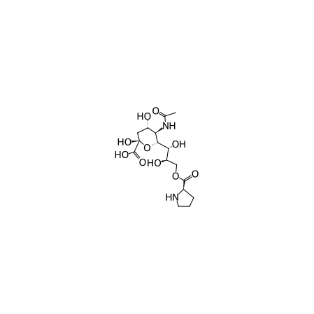 CC(=O)N[C@H]1[C@H]([C@H](O)[C@H](O)COC(=O)[C@H]2CCCN2)O[C@](O)(C(=O)O)C[C@@H]1O